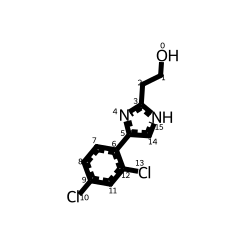 OCCc1nc(-c2ccc(Cl)cc2Cl)c[nH]1